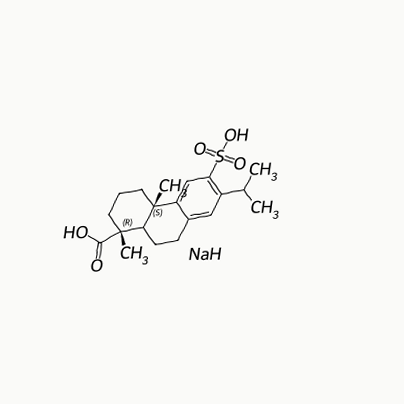 CC(C)c1cc2c(cc1S(=O)(=O)O)[C@@]1(C)CCC[C@@](C)(C(=O)O)C1CC2.[NaH]